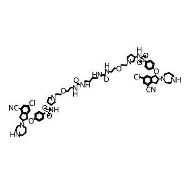 N#Cc1cc(Cl)cc2c1C[C@H](N1CCCNCC1)[C@H]2Oc1ccc(S(=O)(=O)N[C@@H]2CCN(CCOCCNC(=O)NCCCCNC(=O)NCCOCCN3CC[C@@H](NS(=O)(=O)c4ccc(O[C@H]5c6cc(Cl)cc(C#N)c6C[C@@H]5N5CCCNCC5)cc4)C3)C2)cc1